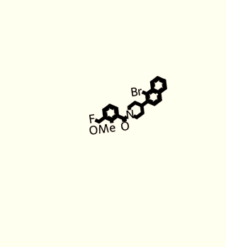 COc1c(CF)cccc1C(=O)N1CCC(c2ccc3ccccc3c2Br)CC1